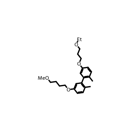 CCOCCCOc1ccc(C)c(-c2cc(OCCCCOC)ccc2C)c1